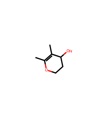 CC1=C(C)C(O)CCO1